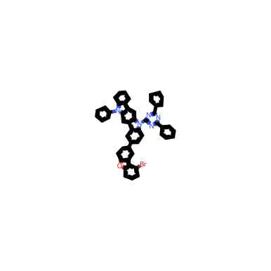 Brc1cccc2oc3ccc(-c4ccc5c(c4)c4cc6c(cc4n5-c4nc(-c5ccccc5)nc(-c5ccccc5)n4)c4ccccc4n6-c4ccccc4)cc3c12